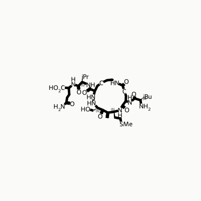 C=C1C(=O)[C@H](CO)NNC(C(=O)N[C@H](C(=O)NC(CCC(N)=O)C(=O)O)C(C)C)CCCCNC(=O)CCC(NC(=O)C(N)[C@@H](C)CC)C(=O)N[C@H]1CCSC